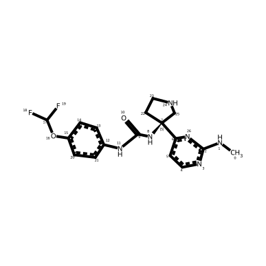 CNc1nccc([C@]2(NC(=O)Nc3ccc(OC(F)F)cc3)CCNC2)n1